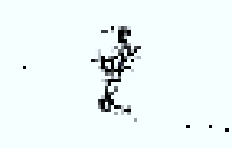 Cc1cccc(COC(=O)CN2C(=O)/C(=C3\SC(=S)N(CCC(=O)O)C3=O)c3cc(Cl)ccc32)c1